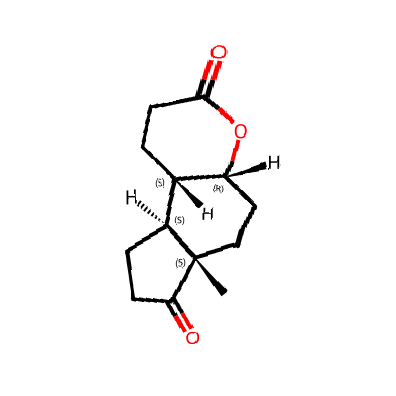 C[C@]12CC[C@H]3OC(=O)CC[C@H]3[C@@H]1CCC2=O